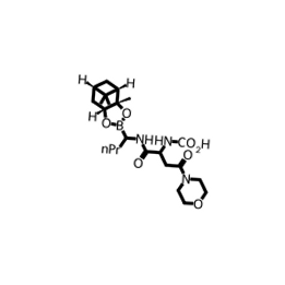 CCCC(NC(=O)C(CC(=O)N1CCOCC1)NC(=O)O)B1O[C@@H]2C[C@@H]3C[C@@H](C3(C)C)[C@]2(C)O1